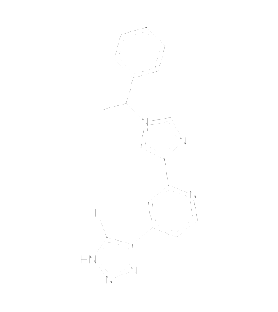 CC(c1ccccc1)n1cnc(-c2cc(-c3nn[nH]c3F)ccn2)c1